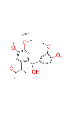 C=C.CCC(C(C)=O)c1cc(OC)c(OC)cc1C(O)c1ccc(OC)c(OC)c1